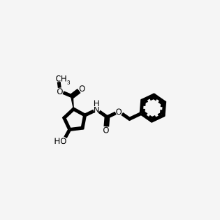 COC(=O)[C@@H]1CC(O)CC1NC(=O)OCc1ccccc1